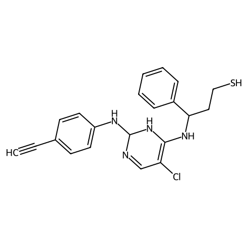 C#Cc1ccc(NC2N=CC(Cl)=C(NC(CCS)c3ccccc3)N2)cc1